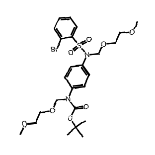 COCCOCN(C(=O)OC(C)(C)C)c1ccc(N(COCCOC)S(=O)(=O)c2ccccc2Br)cc1